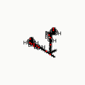 CCCCCCC(CCCCCCCCCCCNC(=O)OCCc1cc(Nc2ccc(O)c3c2C(=O)c2ccccc2C3=O)c(Br)cc1Br)C(CCCCCC)CCCCCCCCCCCNC(=O)OCCc1cc(Nc2ccc(O)c3c2C(=O)c2ccccc2C3=O)c(Br)cc1Br